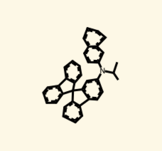 CC(C)N(c1ccc2c(c1)C1(c3ccccc3-c3ccccc31)c1ccccc1-2)c1ccc2ccccc2c1